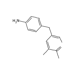 C=C(C)/C(C)=C\C(=C/C)Cc1ccc(N)cc1